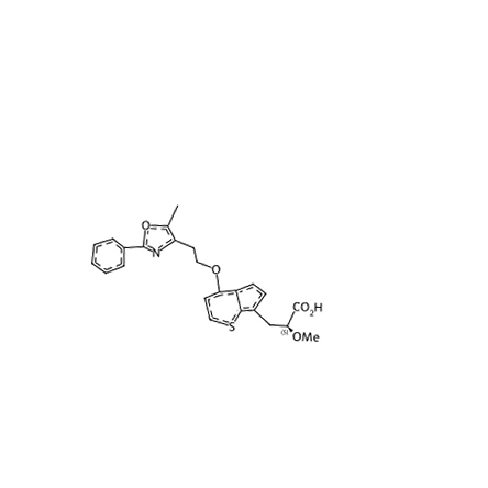 CO[C@@H](Cc1ccc2c(OCCc3nc(-c4ccccc4)oc3C)ccsc1-2)C(=O)O